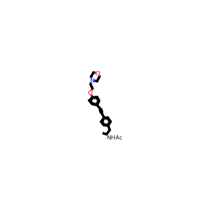 CC(=O)NC(C)Cc1ccc(C#Cc2ccc(OCCN3CCOCC3)cc2)cc1